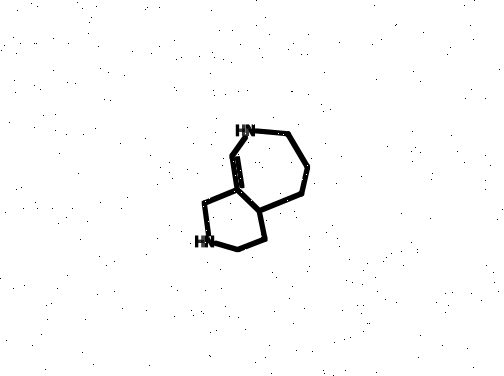 C1=C2CNCCC2CCCN1